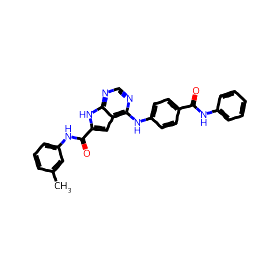 Cc1cccc(NC(=O)c2cc3c(Nc4ccc(C(=O)Nc5ccccc5)cc4)ncnc3[nH]2)c1